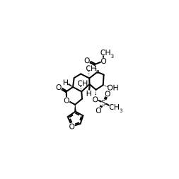 COC(=O)[C@@H]1C[C@H](O)[C@H](OS(C)(=O)=O)[C@H]2[C@@]1(C)CC[C@H]1C(=O)O[C@H](c3ccoc3)C[C@]21C